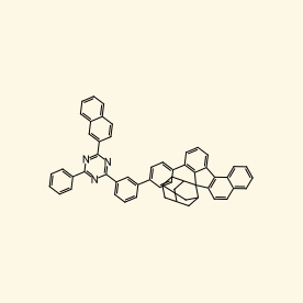 c1ccc(-c2nc(-c3cccc(-c4ccc(-c5cccc6c5C5(c7ccc8ccccc8c7-6)C6CC7CC(C6)CC5C7)cc4)c3)nc(-c3ccc4ccccc4c3)n2)cc1